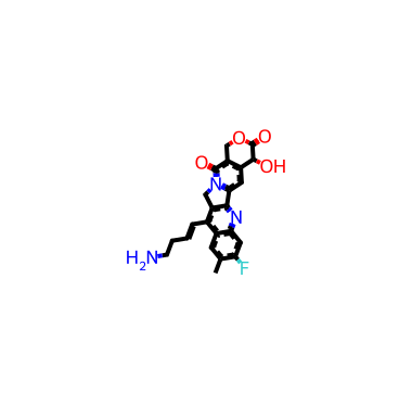 Cc1cc2c(/C=C/CCN)c3c(nc2cc1F)-c1cc2c(c(=O)n1C3)COC(=O)C2O